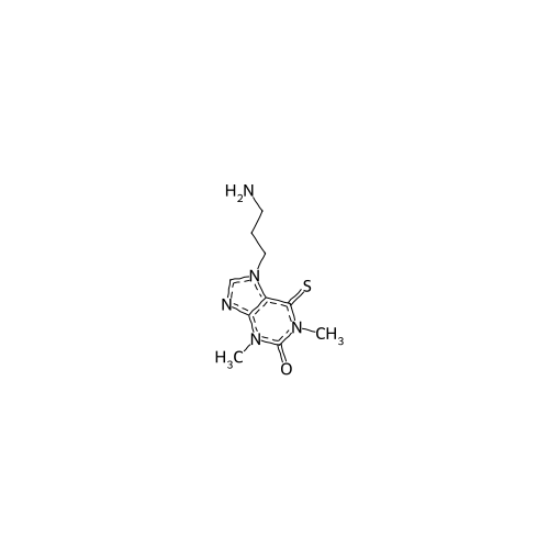 Cn1c(=S)c2c(ncn2CCCN)n(C)c1=O